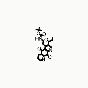 CCC(=O)c1cnc2c(c1CCNC(=O)OC(C)(C)C)C(=O)c1cccnc1C2=O